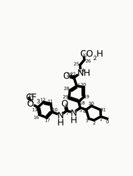 CC1CCC(C(NC(=O)Nc2ccc(OC(F)(F)F)cc2)c2ccc(C(=O)NCCC(=O)O)cc2)CC1